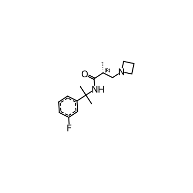 C[C@H](CN1CCC1)C(=O)NC(C)(C)c1cccc(F)c1